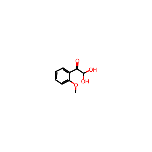 COc1ccccc1C(=O)C(O)O